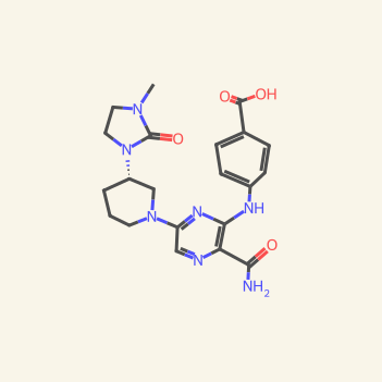 CN1CCN([C@H]2CCCN(c3cnc(C(N)=O)c(Nc4ccc(C(=O)O)cc4)n3)C2)C1=O